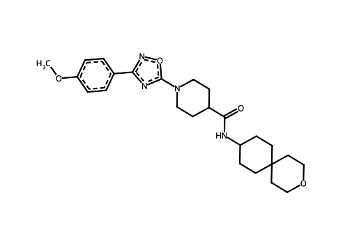 COc1ccc(-c2noc(N3CCC(C(=O)NC4CCC5(CCOCC5)CC4)CC3)n2)cc1